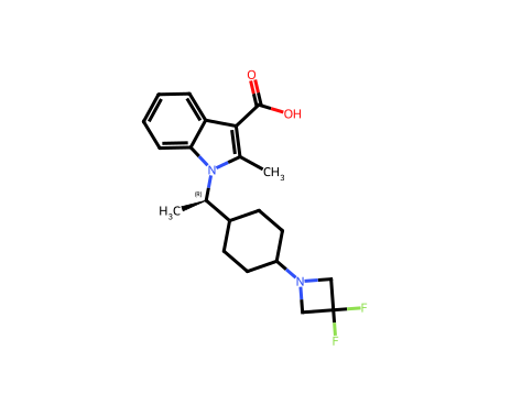 Cc1c(C(=O)O)c2ccccc2n1[C@H](C)C1CCC(N2CC(F)(F)C2)CC1